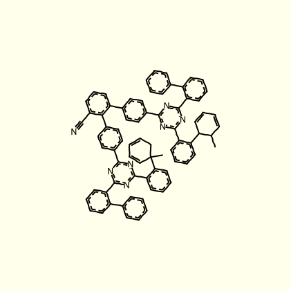 CC1C=CC=CC1c1ccccc1-c1nc(-c2ccc(-c3cccc(C#N)c3-c3ccc(-c4nc(-c5ccccc5-c5ccccc5)nc(-c5ccccc5C5(C)C=CC=CC5)n4)cc3)cc2)nc(-c2ccccc2-c2ccccc2)n1